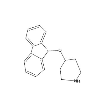 c1ccc2c(c1)-c1ccccc1C2OC1CCNCC1